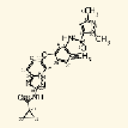 Cc1cc(C(=O)Nc2cc(Oc3ccc4nc(NC(=O)C5CC5)nn4c3)ccc2C)n(C)n1